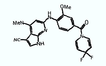 CNc1cc(Nc2ccc(C(=O)N3C=CC(F)(F)C=C3)cc2OC)nc2[nH]cc(C#N)c12